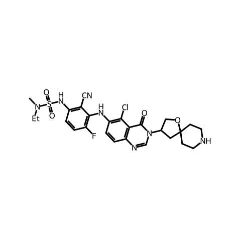 CCN(C)S(=O)(=O)Nc1ccc(F)c(Nc2ccc3ncn(C4COC5(CCNCC5)C4)c(=O)c3c2Cl)c1C#N